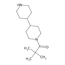 CC(C)(C)C(=O)N1CCC(C2CCNCC2)CC1